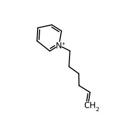 C=CCCCC[n+]1ccccc1